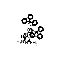 Nc1nc(N)c2ncn([C@@H]3O[C@H](COC(c4ccccc4)(c4ccccc4)c4ccccc4)[C@@H](OC(c4ccccc4)(c4ccccc4)c4ccccc4)[C@H]3F)c2n1